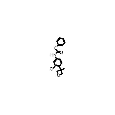 CC1(c2ccc(NC(=O)Oc3ccccc3)cc2Cl)COC1